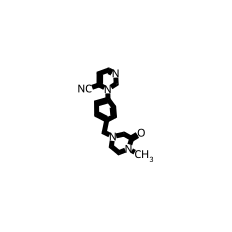 CN1CCN(Cc2ccc(N3CN=CC=C3C#N)cc2)CC1=O